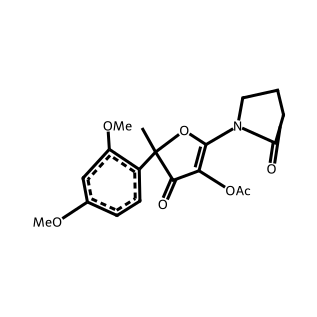 COc1ccc(C2(C)OC(N3CCCC3=O)=C(OC(C)=O)C2=O)c(OC)c1